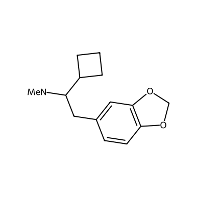 CNC(Cc1ccc2c(c1)OCO2)C1CCC1